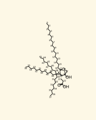 CCCCCCCCCCCCCCCCCC(=O)N([C@@H](CCC(=O)O)C(=O)O)C(CCCCCCCC)(CCCCCCCC)CCCCCCCCCCC